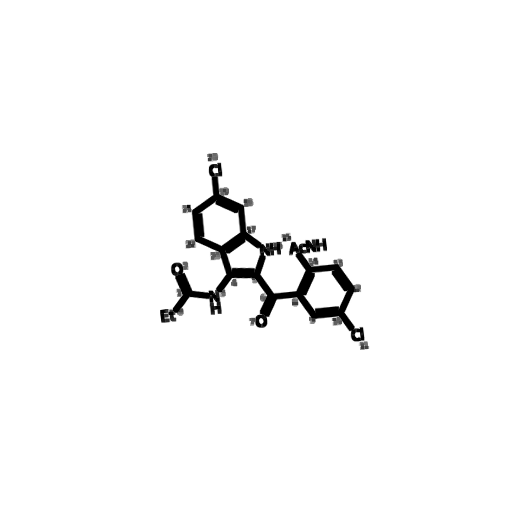 CCC(=O)Nc1c(C(=O)c2cc(Cl)ccc2NC(C)=O)[nH]c2cc(Cl)ccc12